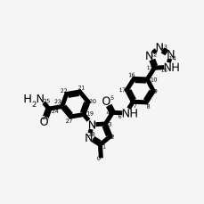 Cc1cc(C(=O)Nc2ccc(-c3nnn[nH]3)cc2)n(-c2cccc(C(N)=O)c2)n1